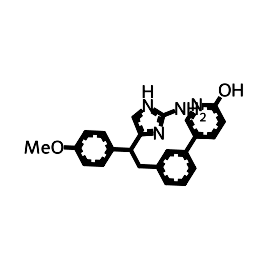 COc1ccc(C(Cc2cccc(-c3ccc(O)nc3)c2)c2c[nH]c(N)n2)cc1